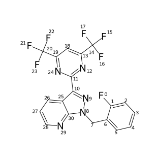 Fc1ccccc1Cn1nc(-c2nc(C(F)(F)F)cc(C(F)(F)F)n2)c2cccnc21